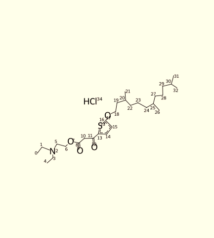 CCN(CC)CCOC(=O)CC(=O)c1ccc(OCCC(C)CCCC(C)CCCC(C)C)s1.Cl